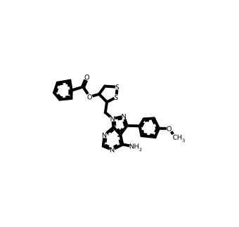 COc1ccc(-c2nn(CC3SSCC3OC(=O)c3ccccc3)c3ncnc(N)c23)cc1